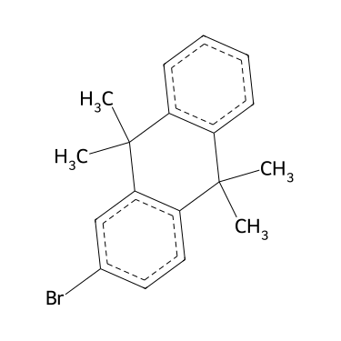 CC1(C)c2ccccc2C(C)(C)c2cc(Br)ccc21